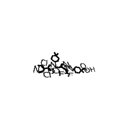 CC1(C)CCC(N(CC(=O)c2c(Cl)cncc2Cl)C(=O)c2cnn(C3CCC(C)(C(=O)O)CC3)c2C(F)F)CC1